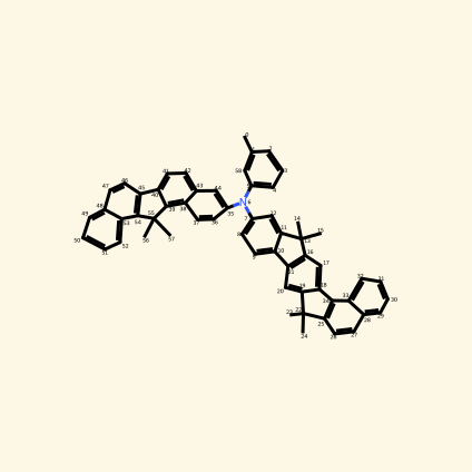 Cc1cccc(N(c2ccc3c(c2)C(C)(C)c2cc4c(cc2-3)C(C)(C)c2ccc3ccccc3c2-4)c2ccc3c4c(ccc3c2)-c2ccc3ccccc3c2C4(C)C)c1